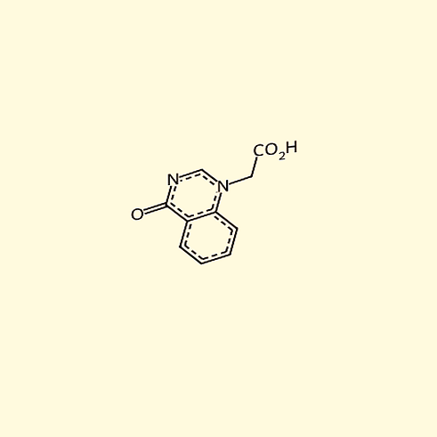 O=C(O)Cn1cnc(=O)c2ccccc21